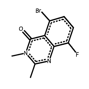 Cc1nc2c(F)ccc(Br)c2c(=O)n1C